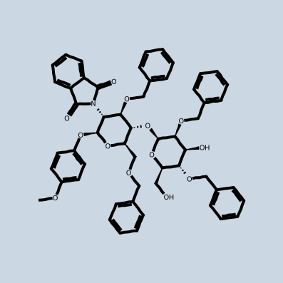 COc1ccc(O[C@@H]2O[C@H](COCc3ccccc3)[C@@H](O[C@@H]3O[C@H](CO)[C@@H](OCc4ccccc4)[C@H](O)[C@@H]3OCc3ccccc3)[C@H](OCc3ccccc3)[C@H]2N2C(=O)c3ccccc3C2=O)cc1